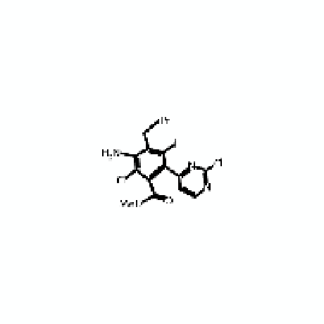 COC(=O)c1c(Cl)c(N)c(CC(C)C)c(I)c1-c1ccnc(Cl)n1